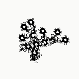 CC(=O)O[C@H]1C(C)O[C@H](O)[C@H](O[C@@H]2OC(C)[C@H](O[C@@H]3OC[C@@H](C)C(O[C@@H]4OC[C@]5(COCc6ccccc6)O[C@@H](c6ccccc6)OC45)[C@H]3OCc3ccccc3)C(C)(O[C@@H]3OC(COCc4ccccc4)[C@@H](OCc4ccccc4)C(OCc4ccccc4)[C@H]3C)[C@@H]2C)C1O[C@@H]1OC(C)[C@H](C)[C@@H]2OC(C)(C)OC12